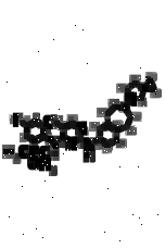 CP(C)(=O)c1cc(F)ccc1Nc1nc(Nc2ccc3c(c2)CC[C@@H](N2CCC4(CC4)C2)CC3)ncc1Cl